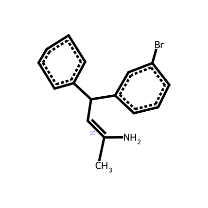 C/C(N)=C/C(c1ccccc1)c1cccc(Br)c1